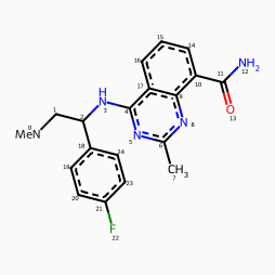 CNCC(Nc1nc(C)nc2c(C(N)=O)cccc12)c1ccc(F)cc1